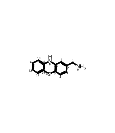 NCc1ccc2c(c1)Nc1ccccc1S2